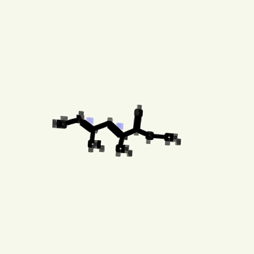 COC(=O)/C(C)=C/C(C)=N/O